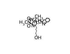 CC(C)Cn1c(=O)n(C)c(=O)c2nc(CCCCCO)c(COc3cc4ccccc4cn3)nc21